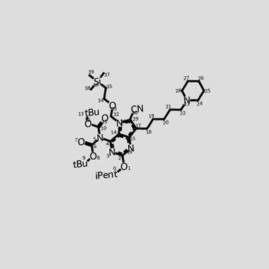 CCCC(C)Oc1nc(N(C(=O)OC(C)(C)C)C(=O)OC(C)(C)C)c2c(n1)c(CCCCCN1CCCCC1)c(C#N)n2COCC[Si](C)(C)C